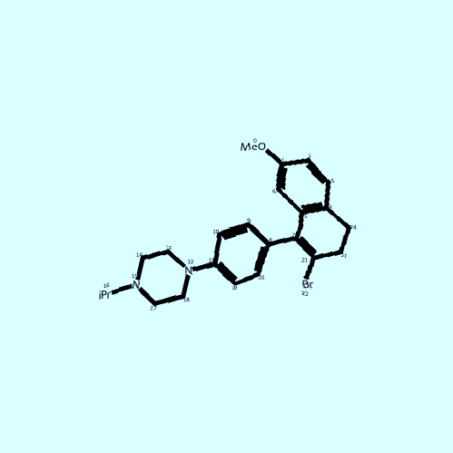 COc1ccc2c(c1)C(c1ccc(N3CCN(C(C)C)CC3)cc1)=C(Br)CC2